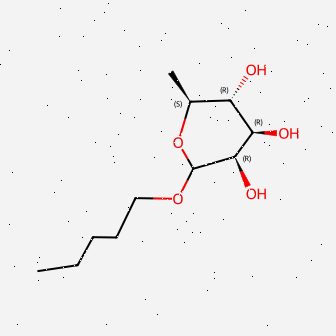 CCCCCOC1O[C@@H](C)[C@H](O)[C@@H](O)[C@H]1O